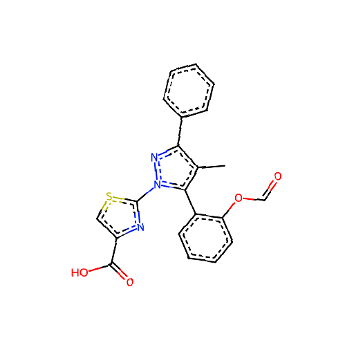 Cc1c(-c2ccccc2)nn(-c2nc(C(=O)O)cs2)c1-c1ccccc1OC=O